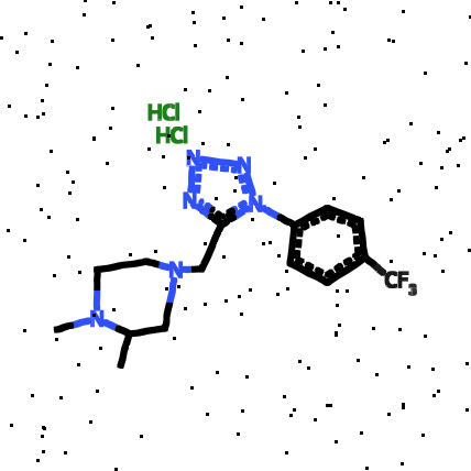 CC1CN(Cc2nnnn2-c2ccc(C(F)(F)F)cc2)CCN1C.Cl.Cl